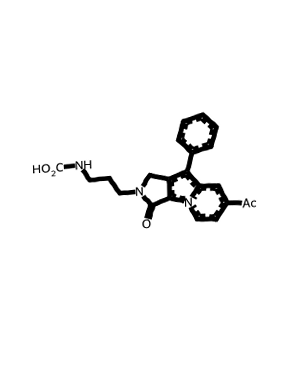 CC(=O)c1ccn2c3c(c(-c4ccccc4)c2c1)CN(CCCNC(=O)O)C3=O